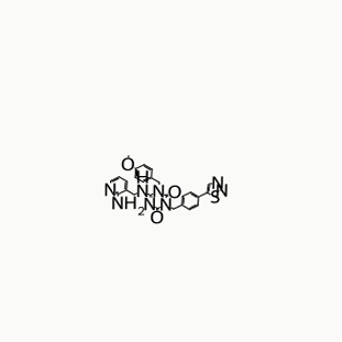 COc1ccc(Cn2c(NCc3cccnc3N)nc(=O)n(Cc3ccc(-c4cnns4)cc3)c2=O)cc1